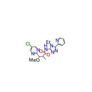 CCn1c(NS(=O)(=O)C(C)C(OC)c2ncc(Cl)cn2)nnc1-c1ccccn1